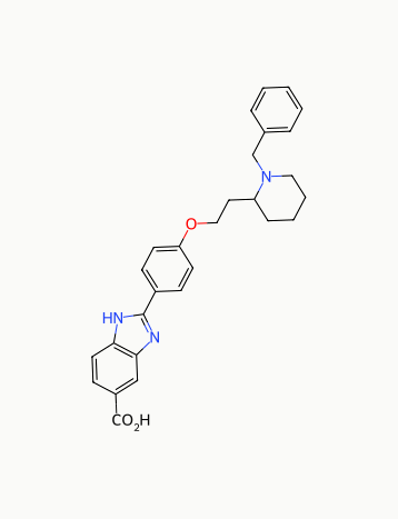 O=C(O)c1ccc2[nH]c(-c3ccc(OCCC4CCCCN4Cc4ccccc4)cc3)nc2c1